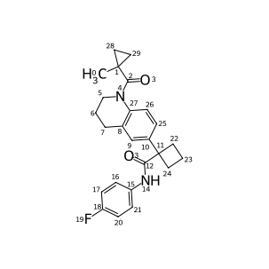 CC1(C(=O)N2CCCc3cc(C4(C(=O)Nc5ccc(F)cc5)CCC4)ccc32)CC1